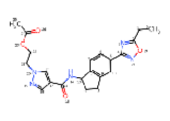 CCc1nc(-c2ccc3c(c2)CCC3NC(=O)c2cnn(CCOC(C)=O)c2)no1